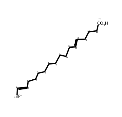 CCCC=CCCCCCCCCCC=CCCCC(=O)O